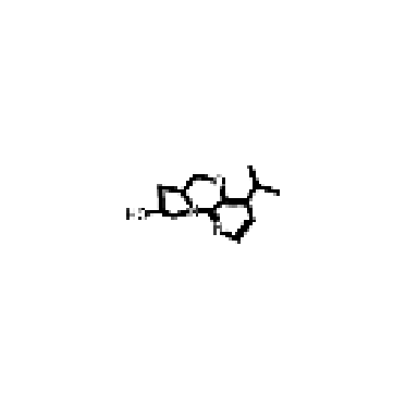 CC(C)c1ccnc2c1OCC1C[C@H](O)CN21